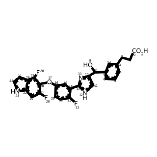 O=C(O)CCc1cccc(C(O)c2c[nH]c(-c3cc(Oc4c(F)cc5[nH]ccc5c4F)ccc3F)n2)c1